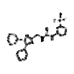 O=C(NCc1nc(-c2ccccc2)c(-c2ccccc2)o1)Nc1cccc(C(F)(F)F)c1